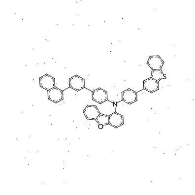 c1cc(-c2ccc(N(c3ccc(-c4ccc5sc6ccccc6c5c4)cc3)c3cccc4oc5ccccc5c34)cc2)cc(-c2cccc3ccccc23)c1